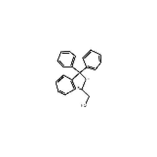 OCC(F)NC(c1ccccc1)(c1ccccc1)c1ccccc1